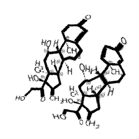 C=C1C[C@H]2[C@@H]3CCC4=CC(=O)C=C[C@]4(C)[C@H]3[C@@H](O)C[C@]2(C)[C@@]1(O)C(=O)CO.C=C1C[C@H]2[C@@H]3CCC4=CC(=O)C=C[C@]4(C)[C@H]3[C@@H](O)C[C@]2(C)[C@@]1(O)C(=O)CO